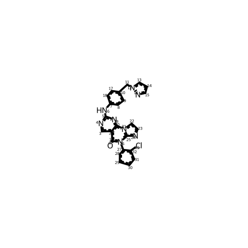 O=c1c2cnc(Nc3ccc(Cn4cccn4)cc3)nc2n2ccnc2n1-c1ccccc1Cl